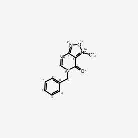 O=c1c2c(ncn1Cc1ccccc1)no[n+]2[O-]